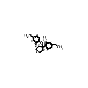 CCc1ccc(C2(Oc3ccc(N)cc3F)CCOCC2)c(C)c1